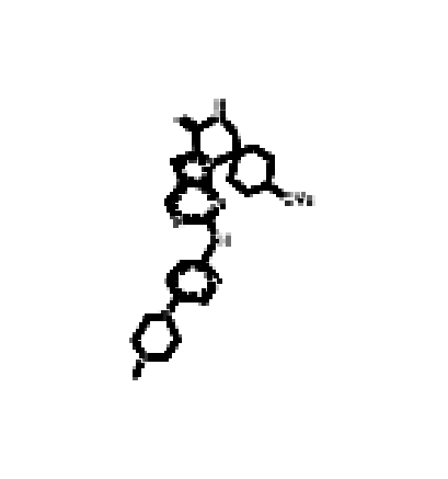 COC1CCC2(CC1)CNC(=O)c1cc3cnc(Nc4ccc(N5CCN(C)CC5)cn4)nc3n12